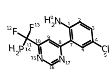 Nc1ccc(Cl)cc1-c1cc(C(F)(F)P)ncn1